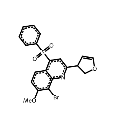 COc1ccc2c(S(=O)(=O)c3ccccc3)cc(C3C=COC3)nc2c1Br